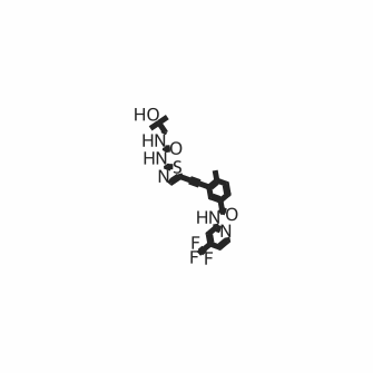 Cc1ccc(C(=O)Nc2cc(C(F)(F)F)ccn2)cc1C#Cc1cnc(NC(=O)NCC(C)(C)O)s1